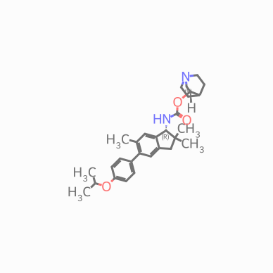 Cc1cc2c(cc1-c1ccc(OC(C)C)cc1)CC(C)(C)[C@H]2NC(=O)O[C@@H]1CN2CCC1CC2